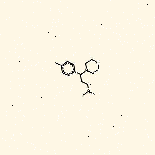 Cc1ccc(C(CCN(C)C)N2CCOCC2)cc1